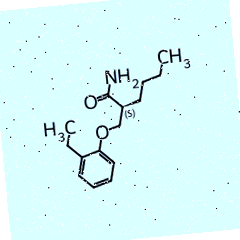 CCCC[C@@H](COc1ccccc1CC)C(N)=O